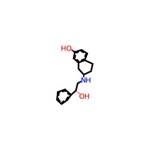 Oc1ccc2c(c1)C[C@H](NC[C@H](O)c1ccccc1)CC2